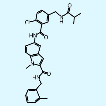 Cc1ccccc1CNC(=O)c1cc2cc(NC(=O)c3cc(CNC(=O)C(C)C)ccc3Cl)ccc2n1C